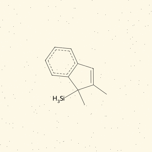 CC1=Cc2ccccc2C1(C)[SiH3]